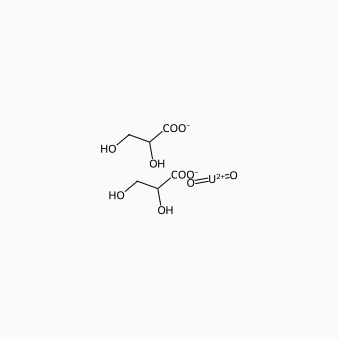 O=C([O-])C(O)CO.O=C([O-])C(O)CO.[O]=[U+2]=[O]